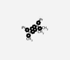 Cc1ccc(N(c2ccc(C(C)C)cc2)c2ccc3ccc4c(N(c5ccc(C(C)C)cc5)c5cc(C)cc(C)c5)ccc5ccc2c3c54)cc1